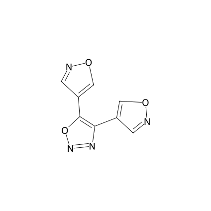 c1nocc1-c1nnoc1-c1cnoc1